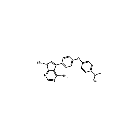 CC(=O)N(C)c1ccc(Oc2ccc(-c3cn(C(C)(C)C)c4ncnc(N)c34)cc2)cc1